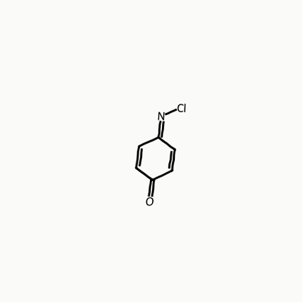 O=C1C=CC(=NCl)C=C1